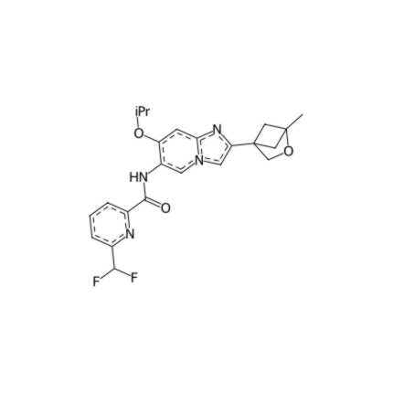 CC(C)Oc1cc2nc(C34COC(C)(C3)C4)cn2cc1NC(=O)c1cccc(C(F)F)n1